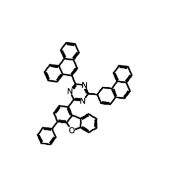 C1=CC(c2nc(-c3cc4ccccc4c4ccccc34)nc(-c3ccc(-c4ccccc4)c4oc5ccccc5c34)n2)Cc2c1ccc1ccccc21